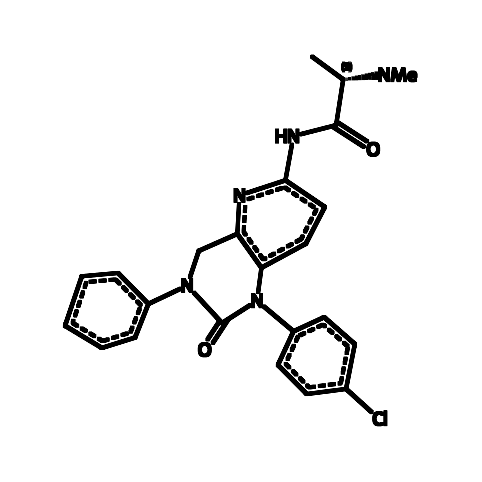 CN[C@@H](C)C(=O)Nc1ccc2c(n1)CN(c1ccccc1)C(=O)N2c1ccc(Cl)cc1